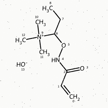 C=CC(=O)NOC(CC)[N+](C)(C)C.[OH-]